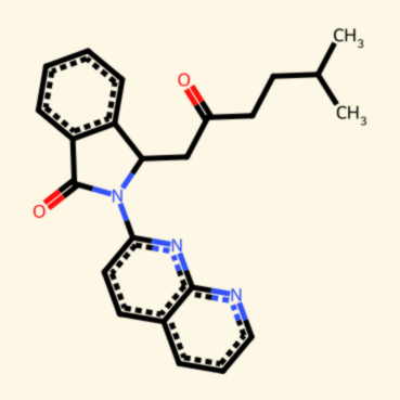 CC(C)CCC(=O)CC1c2ccccc2C(=O)N1c1ccc2cccnc2n1